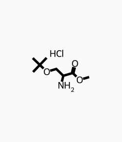 COC(=O)C(N)COC(C)(C)C.Cl